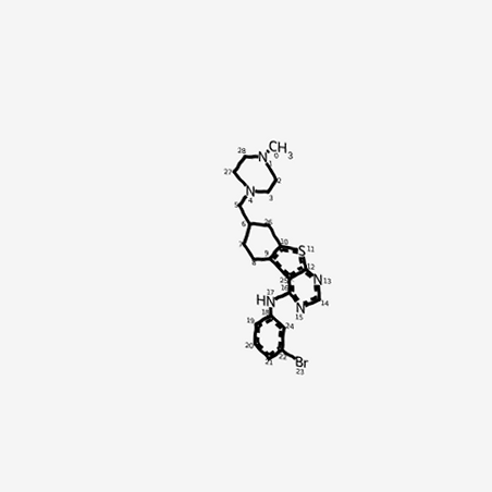 CN1CCN(CC2CCc3c(sc4ncnc(Nc5cccc(Br)c5)c34)C2)CC1